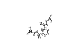 CN(C)/C=C/C(=O)c1cccc(C(=O)/C=C/N(C)C)n1